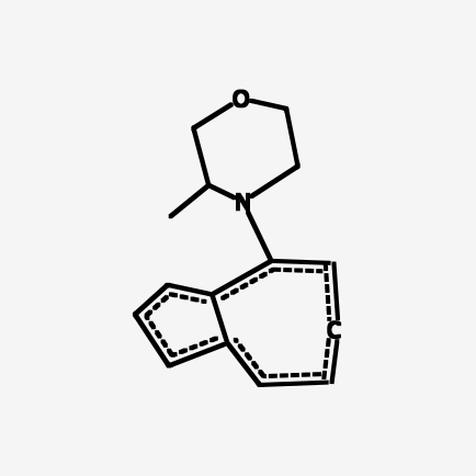 CC1COCCN1c1ccccc2cccc1-2